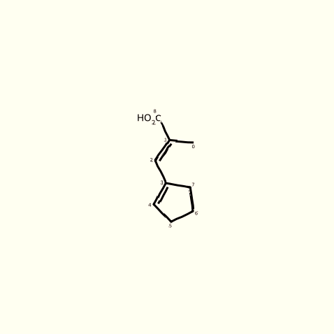 CC(=CC1=CCCC1)C(=O)O